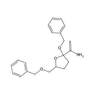 NC(=S)C1(OCc2ccccc2)CCC(COCc2ccccc2)O1